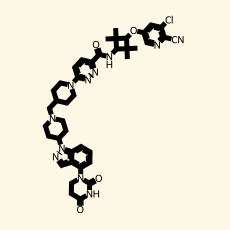 CC1(C)C(NC(=O)c2ccc(N3CCC(CN4CCC(n5ncc6c(N7CCC(=O)NC7=O)cccc65)CC4)CC3)nn2)C(C)(C)C1Oc1cnc(C#N)c(Cl)c1